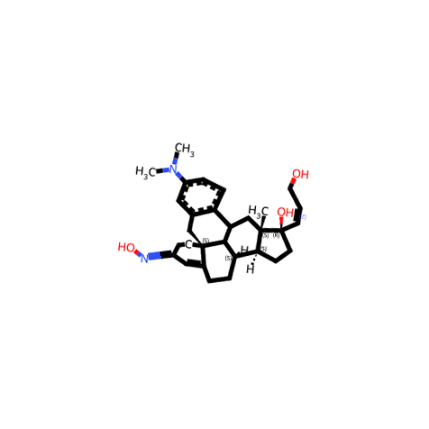 CN(C)c1ccc2c(c1)C[C@]13CCC(=NO)C=C1CC[C@@H]1C3C2C[C@@]2(C)[C@H]1CC[C@@]2(O)/C=C\CO